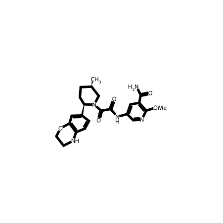 COc1ncc(NC(=O)C(=O)N2C[C@@H](C)CC[C@@H]2c2ccc3c(c2)OCCN3)cc1C(N)=O